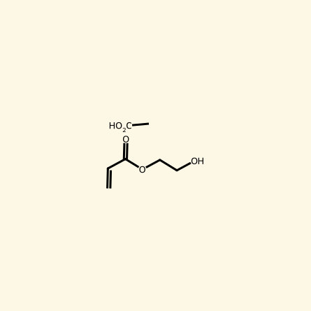 C=CC(=O)OCCO.CC(=O)O